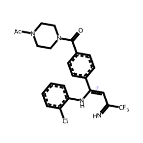 CC(=O)N1CCN(C(=O)c2ccc(/C(=C/C(=N)C(F)(F)F)Nc3ccccc3Cl)cc2)CC1